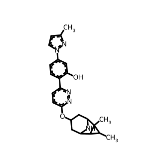 Cc1ccn(-c2ccc(-c3ccc(OC4CC5NC(C4)C4(C)C(C)C54)nn3)c(O)c2)n1